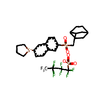 O=S(=O)(CC1CC2CCC1CC2)c1ccc2cc([S+]3CCCC3)ccc2c1.O=S(=O)([O-])C(F)(F)C(F)(F)C(F)(F)C(F)(F)F